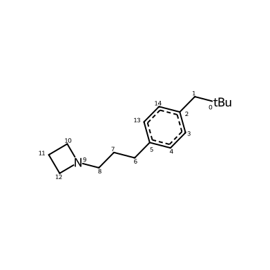 CC(C)(C)Cc1ccc(CCCN2CCC2)cc1